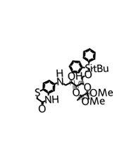 CO[C@@]1(C)O[C@H]([C@@H](O)CNc2ccc3c(c2)NC(=O)CS3)[C@@H](CO[Si](c2ccccc2)(c2ccccc2)C(C)(C)C)O[C@]1(C)OC